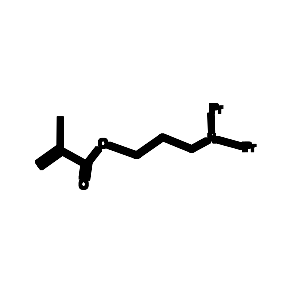 C=C(C)C(=O)OCCCN(C(C)C)C(C)C